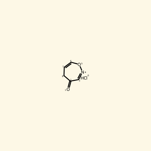 Cl.O=C1C=NOC=CC1